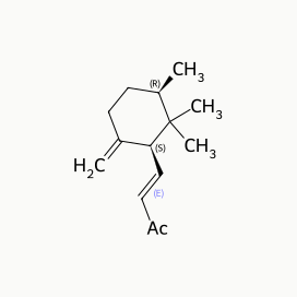 C=C1CC[C@@H](C)C(C)(C)[C@H]1/C=C/C(C)=O